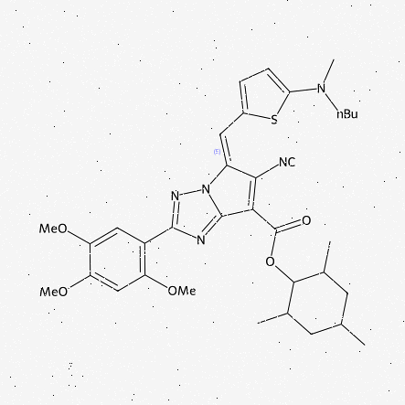 [C-]#[N+]c1c(C(=O)OC2C(C)CC(C)CC2C)c2nc(-c3cc(OC)c(OC)cc3OC)nn2/c1=C/c1ccc(N(C)CCCC)s1